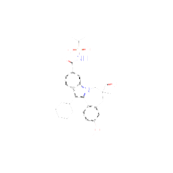 COc1ccc2c(c1)CC(C)(C=O)Cn1c-2c(C2CCCCC2)c2ccc(C(=O)NS(=O)(=O)C(C)C)cc21